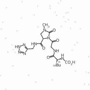 CC[C@H](C)[C@H](NC(=O)O)C(=O)NCC(=O)N1C(=O)N(C)CC1C(=O)NCc1nn[nH]n1